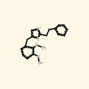 COc1cccc(Cc2csc(CCc3ccccc3)n2)c1OC